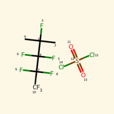 CC(C)(F)C(F)(F)C(F)(F)C(F)(F)F.O=S(=O)(Cl)Cl